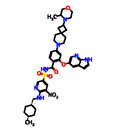 CC1COCCN1C1CC2(CCN(c3ccc(C(=O)NS(=O)(=O)c4cnc(NC[C@H]5CC[C@@H](C)CC5)c([N+](=O)[O-])c4)c(Oc4cnc5[nH]ccc5c4)c3)CC2)C1